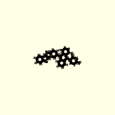 Fc1ccc(-c2c3ccccc3c(-c3ccc4nc5c6ccccc6sc5n4c3)c3ccccc23)c(F)n1